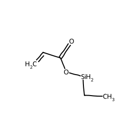 C=CC(=O)O[SiH2]CC